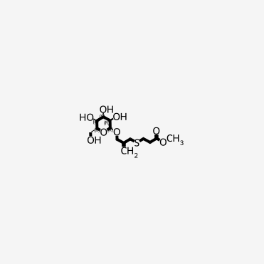 C=C(CO[C@@H]1O[C@H](CO)[C@H](O)[C@H](O)[C@H]1O)CSCCC(=O)OC